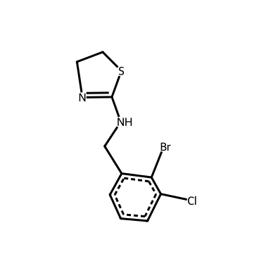 Clc1cccc(CNC2=NCCS2)c1Br